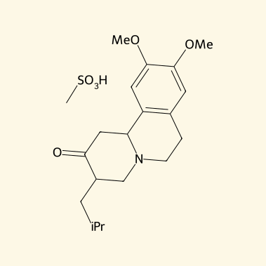 COc1cc2c(cc1OC)C1CC(=O)C(CC(C)C)CN1CC2.CS(=O)(=O)O